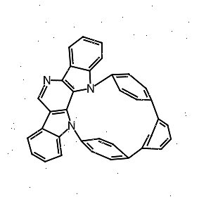 c1cc2cc(c1)c1ccc(cc1)n1c3ccccc3c3ncc4c5ccccc5n(c5ccc2cc5)c4c31